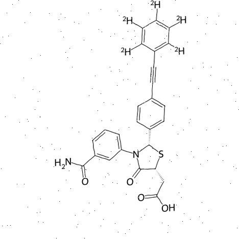 [2H]c1c([2H])c([2H])c(C#Cc2ccc([C@@H]3S[C@H](CC(=O)O)C(=O)N3c3cccc(C(N)=O)c3)cc2)c([2H])c1[2H]